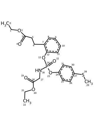 CCOC(=O)CCc1ccccc1OP(=O)(NCC(=O)OCC)Oc1ccc(SC)cc1